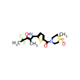 Cc1c(-c2ccc(C(=O)N3CCS(C)(P=O)CC3)s2)noc1C(C)(F)F